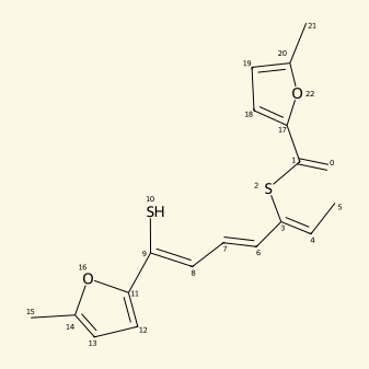 C=C(SC(=C\C)/C=C/C=C(\S)c1ccc(C)o1)c1ccc(C)o1